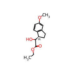 CCOC(=O)C(O)[C@@H]1CCc2cc(OC)ccc21